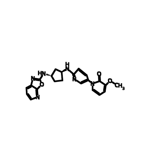 COc1cccn(-c2ccc(N[C@H]3CC[C@H](Nc4nc5cccnc5o4)C3)nc2)c1=O